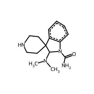 CN(C)C1N(C(N)=O)c2ccccc2C12CCNCC2